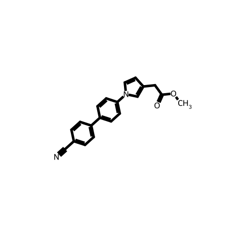 COC(=O)Cc1ccn(-c2ccc(-c3ccc(C#N)cc3)cc2)c1